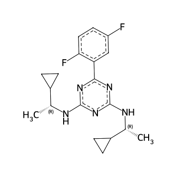 C[C@@H](Nc1nc(N[C@H](C)C2CC2)nc(-c2cc(F)ccc2F)n1)C1CC1